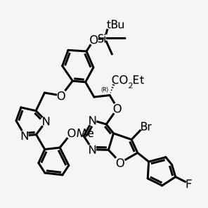 CCOC(=O)[C@@H](Cc1cc(O[Si](C)(C)C(C)(C)C)ccc1OCc1ccnc(-c2ccccc2OC)n1)Oc1ncnc2oc(-c3ccc(F)cc3)c(Br)c12